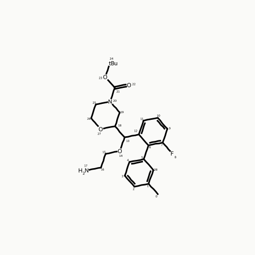 Cc1cccc(-c2c(F)cccc2C(OCCN)C2CN(C(=O)OC(C)(C)C)CCO2)c1